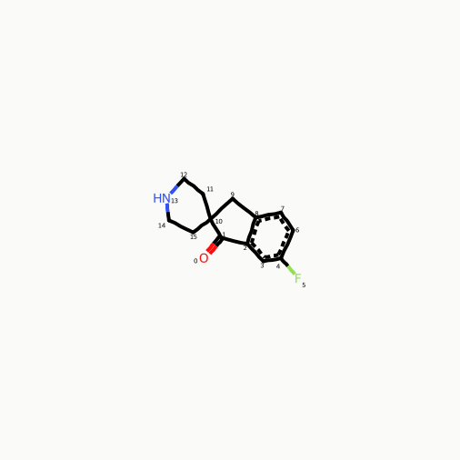 O=C1c2cc(F)ccc2CC12CCNCC2